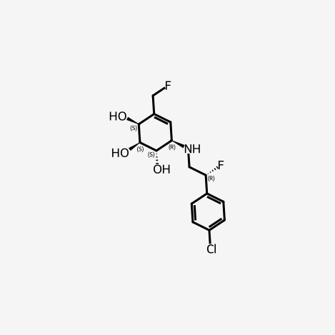 O[C@@H]1[C@@H](O)[C@@H](O)C(CF)=C[C@H]1NC[C@H](F)c1ccc(Cl)cc1